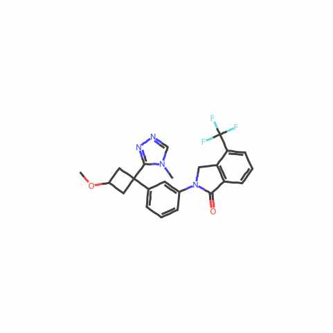 COC1CC(c2cccc(N3Cc4c(cccc4C(F)(F)F)C3=O)c2)(c2nncn2C)C1